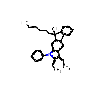 C/C=c1\c(=C/C)n(-c2ccccc2)c2cc3c(cc12)-c1ccccc1C3(C)CCCCCC